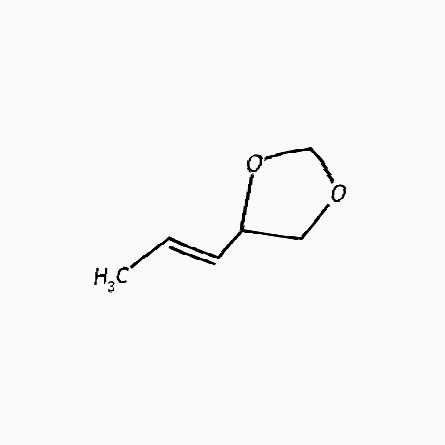 CC=CC1COCO1